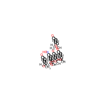 C#CC1(O)CC[C@H]2[C@@H]3CCC4=CC(=O)CC[C@@H]4[C@H]3CC[C@@]21CC.C#C[C@]1(O)CC[C@H]2[C@@H]3CCC4=CC(=O)CC[C@@H]4[C@H]3CC[C@@]21C.C#C[C@]1(OC(C)=O)CC[C@H]2[C@@H]3CCC4=C/C(=N/O)CC[C@@H]4[C@H]3CC[C@@]21CC.C#C[C@]1(OC(C)=O)CC[C@H]2[C@@H]3CCC4=CC(=O)CC[C@@H]4[C@H]3CC[C@@]21C.CC(=O)[C@H]1CC[C@H]2[C@@H]3CCC4=CC(=O)CC[C@]4(C)[C@H]3CC[C@]12C